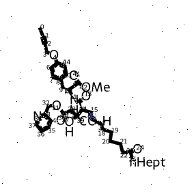 CC#CCOc1ccc(C[C@H](NC(=O)[C@@H](/C=C/CCCCCCC(=O)CCCCCCC)[C@@](O)(CC(=O)OCc2ccccn2)C(=O)O)C(=O)OC)cc1